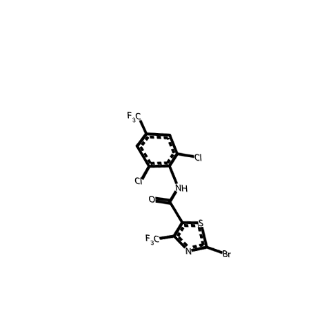 O=C(Nc1c(Cl)cc(C(F)(F)F)cc1Cl)c1sc(Br)nc1C(F)(F)F